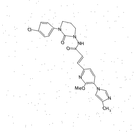 COc1nc(/C=C/C(=O)NN2CCCN(c3ccc(Cl)cc3)C2=O)ccc1-n1cnc(C)c1